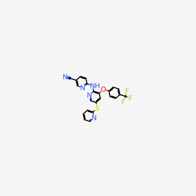 N#Cc1ccc(Nc2ncc(Sc3ccccn3)cc2Oc2ccc(C(F)(F)F)cc2)nc1